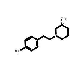 Cc1ccc(CCN2CCC[C@@H](N)C2)cc1